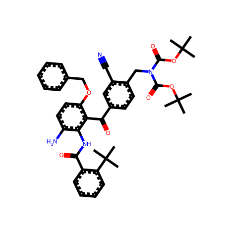 CC(C)(C)OC(=O)N(Cc1ccc(C(=O)c2c(OCc3ccccc3)ccc(N)c2NC(=O)c2ccccc2C(C)(C)C)cc1C#N)C(=O)OC(C)(C)C